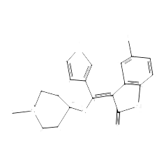 CC(=O)c1ccc2c(c1)/C(=C(/NC1CCN(C)CC1)c1ccoc1)C(=O)N2